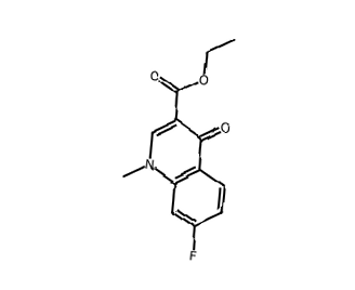 CCOC(=O)c1cn(C)c2cc(F)ccc2c1=O